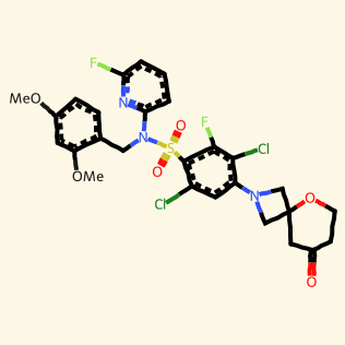 COc1ccc(CN(c2cccc(F)n2)S(=O)(=O)c2c(Cl)cc(N3CC4(CC(=O)CCO4)C3)c(Cl)c2F)c(OC)c1